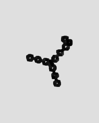 C1=CC2Oc3ccccc3C2C=C1c1ccc(-c2ccc(N(c3ccc(-c4ccc(-c5ccccc5)cc4)cc3)c3ccc(-c4ccc(-c5ccccc5)cc4)cc3)cc2)cc1